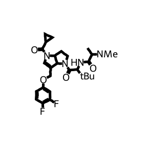 CNC(C)C(=O)NC(C(=O)N1CCC2C1C(COc1ccc(F)c(F)c1)=CN2C(=O)C1CC1)C(C)(C)C